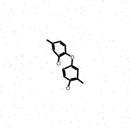 Cc1ccc(Oc2ccc(Cl)c(C)c2)c(Cl)c1